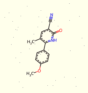 COc1ccc(-c2[nH]c(=O)c(C#N)cc2C)cc1